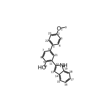 COc1ccc(-c2ccc(O)c(-c3cc4ccccc4[nH]3)c2)cc1